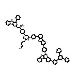 C/C=C\C=C/Cc1nc(C2=CC=C(/C(=C/c3cc4c(sc5ccccc54)c(-c4ccccc4)n3)CCC)CC2)cc(-c2ccc(-c3cccc4c3sc3cc(-c5ccc(-c6nc7cc(-c8cccc(-c9cc(-c%10ccccn%10)nc(-c%10ccccn%10)c9)c8)ccc7c7c6sc6ccccc67)cc5)ccc34)cc2)n1